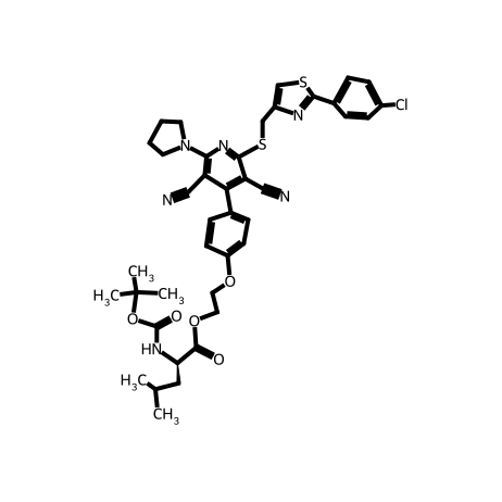 CC(C)C[C@@H](NC(=O)OC(C)(C)C)C(=O)OCCOc1ccc(-c2c(C#N)c(SCc3csc(-c4ccc(Cl)cc4)n3)nc(N3CCCC3)c2C#N)cc1